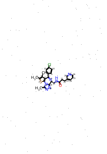 Cc1sc2c(c1C)C(c1ccc(Cl)cc1)=N[C@@H](CNC(=O)CCc1cccnc1)c1nnc(C)n1-2